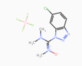 CN(C)/C(n1nnc2ccc(Cl)cc21)=[N+](\C)[O-].F[B-](F)(F)F